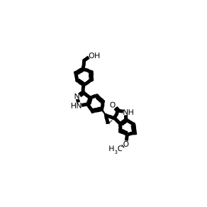 COc1ccc2c(c1)[C@]1(C[C@H]1c1ccc3c(-c4ccc(CO)cc4)n[nH]c3c1)C(=O)N2